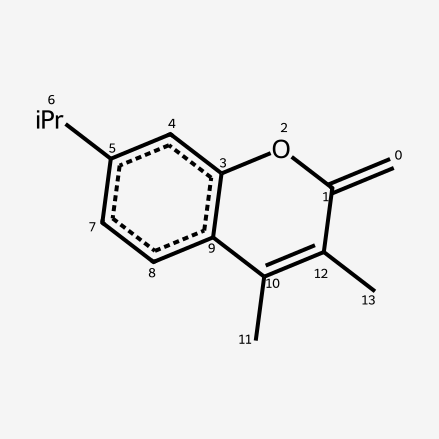 C=C1Oc2cc(C(C)C)ccc2C(C)=C1C